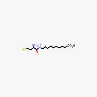 NC(CCS)C(=O)NCCCCCCCCCC(=O)O